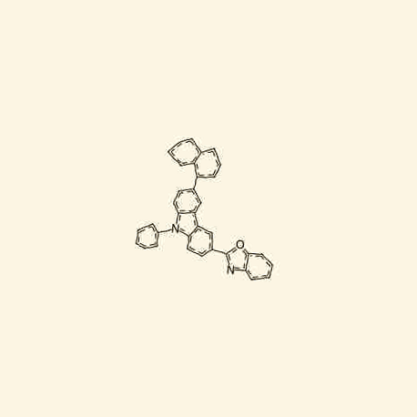 c1ccc(-n2c3ccc(-c4nc5ccccc5o4)cc3c3cc(-c4cccc5ccccc45)ccc32)cc1